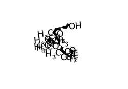 C=C(OS(=O)(=O)C(F)(F)F)[C@H](C)C[C@@H](CC[C@@H]1O[C@@H](CCCO)CC1=C)O[Si](C)(C)C(C)(C)C